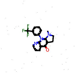 CN1CCc2c1n(-c1cccc(C(F)(F)F)c1)c1ncccc1c2=O